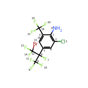 Nc1c(Cl)cc(C(F)(C(F)(F)F)C(F)(F)Br)cc1C(F)(F)F